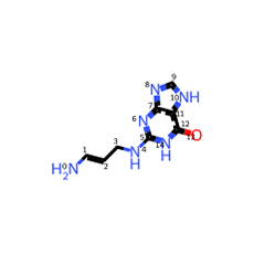 NC=CCNc1nc2nc[nH]c2c(=O)[nH]1